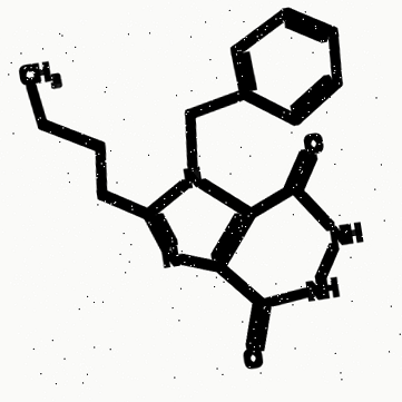 CCCCc1nc2c(=O)[nH][nH]c(=O)c2n1Cc1ccccc1